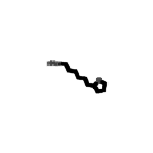 CCCCCCCCCCCCC1CCCO1